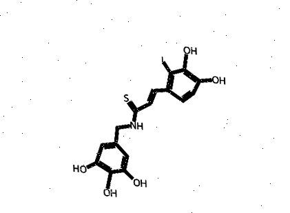 Oc1cc(CNC(=S)/C=C/c2ccc(O)c(O)c2I)cc(O)c1O